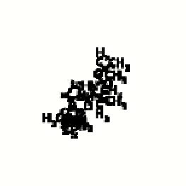 CC(C)(C)OC(=O)N[C@H](C(=O)N1CCC[C@H]1B1O[C@@H]2CC3CC(C3(C)C)[C@]2(C)O1)C(C)(C)C